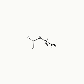 CC(C)O[SH2]P